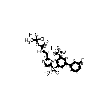 C=S(=O)(c1cc(-c2cccc(F)c2)cc(S(C)(=O)=O)c1)c1cnc(CNC(=O)OC(C)(C)C)s1